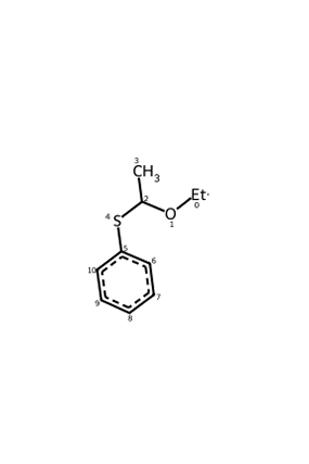 C[CH]OC(C)Sc1ccccc1